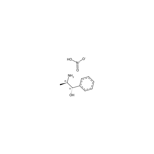 C[C@@H](N)[C@@H](O)c1ccccc1.O=[N+]([O-])O